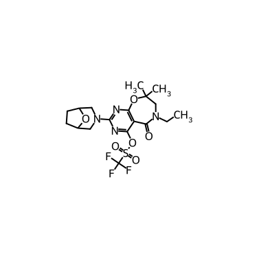 CCN1CC(C)(C)Oc2nc(N3CC4CCC(C3)O4)nc(OS(=O)(=O)C(F)(F)F)c2C1=O